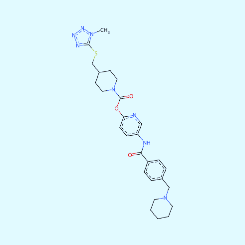 Cn1nnnc1SCC1CCN(C(=O)Oc2ccc(NC(=O)c3ccc(CN4CCCCC4)cc3)cn2)CC1